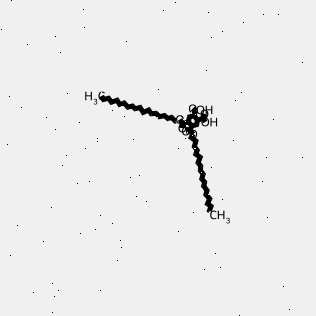 CCCCCCCCCCCCCCCCCCCCOC(=O)C1CC(C(=O)O)C(C(=O)O)CC1C(=O)OCCCCCCCCCCCCCCCCCCCC